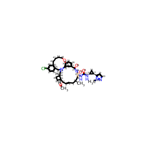 CO[C@H]1/C=C/C[C@H](C)C[S@@](=O)(NC(=O)N[C@@H]2C[C@H]2c2ccnn2C)=NC(=O)c2ccc3c(c2)N(Cc2ccc(Cl)cc2CCCCO3)C[C@@H]2CC[C@H]21